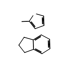 Oc1ccc[nH]1.c1ccc2c(c1)CCC2